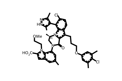 COCCn1c(C(=O)O)cc2cc(C)cc(N3C[C@@H](C)n4c(c(CCCOc5cc(C)c(Cl)c(C)c5)c5ccc(Cl)c(-c6c(C)n[nH]c6C)c54)C3=O)c21